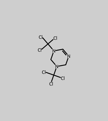 ClC(Cl)(Cl)N1C=NCN(C(Cl)(Cl)Cl)C1